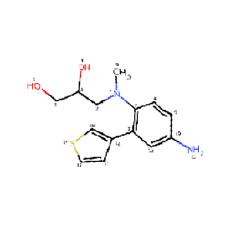 CN(CC(O)CO)c1ccc(N)cc1-c1ccsc1